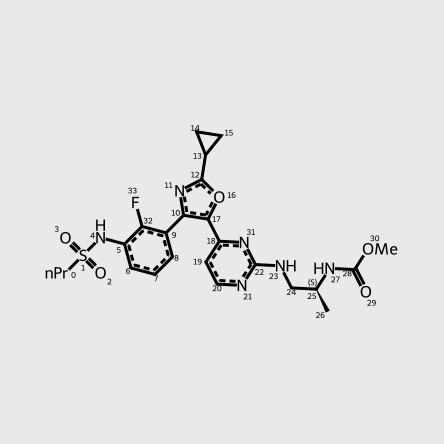 CCCS(=O)(=O)Nc1cccc(-c2nc(C3CC3)oc2-c2ccnc(NC[C@H](C)NC(=O)OC)n2)c1F